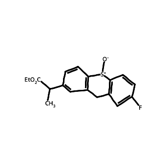 CCOC(=O)C(C)c1ccc2c(c1)Cc1cc(F)ccc1[S+]2[O-]